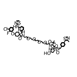 Cc1ncsc1-c1ccc(CNC(=O)[C@@H]2C[C@@H](O)CN2C(=O)[C@@H](NC(=O)COCCOCCOCCOCCNC(=O)[C@]2(Cc3cccc(Nc4nccs4)n3)CC[C@@H](Oc3cccc(Cl)c3F)CC2)C(C)(C)C)cc1